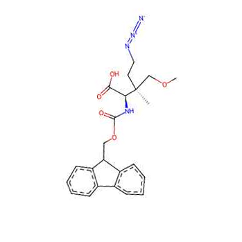 COC[C@](C)(CCN=[N+]=[N-])[C@@H](NC(=O)OCC1c2ccccc2-c2ccccc21)C(=O)O